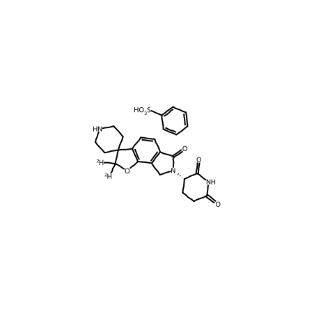 O=S(=O)(O)c1ccccc1.[2H]C1([2H])Oc2c(ccc3c2CN([C@H]2CCC(=O)NC2=O)C3=O)C12CCNCC2